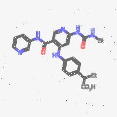 CCNC(=O)Nc1cc(Nc2ccc(C(CC)C(=O)O)cc2)c(C(=O)Nc2cccnc2)cn1